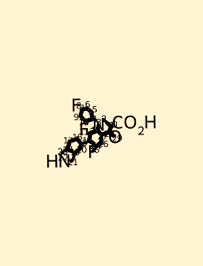 O=C(O)c1cn(-c2ccc(F)cc2F)c2cc(-c3ccc4c(c3)CNC4)c(F)cc2c1=O